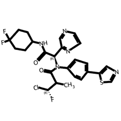 CC(C(=O)N(c1ccc(-c2cncs2)cc1)[C@@H](C(=O)NC1CCC(F)(F)CC1)c1cnccn1)[C@H](F)Cl